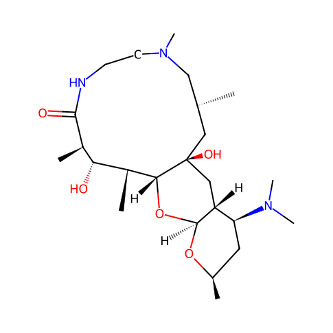 C[C@H]1CN(C)CCNC(=O)[C@H](C)[C@@H](O)[C@H](C)[C@H]2O[C@@H]3O[C@H](C)C[C@H](N(C)C)[C@H]3C[C@@]2(O)C1